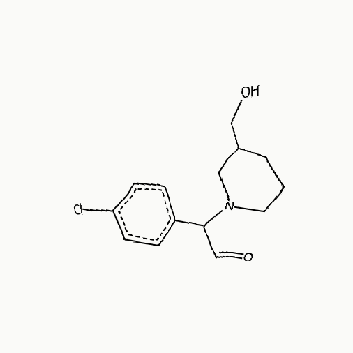 O=CC(c1ccc(Cl)cc1)N1CCCC(CO)C1